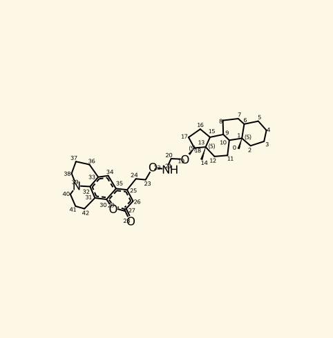 C[C@]12CCCCC1CCC1C2CC[C@@]2(C)C1CC[C@@H]2OCNOCCc1cc(=O)oc2c3c4c(cc12)CCCN4CCC3